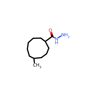 CC1CCCCCC(C(=O)NN)CCC1